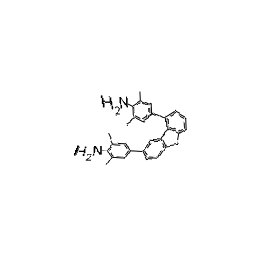 Cc1cc(-c2ccc3c(c2)-c2c(cccc2-c2cc(C)c(N)c(C)c2)C3)cc(C)c1N